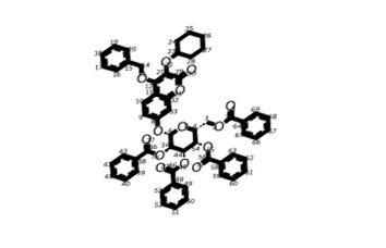 O=C(OC[C@H]1O[C@@H](Oc2ccc3c(OCc4ccccc4)c(OC4CCCCC4)c(=O)oc3c2)[C@H](OC(=O)c2ccccc2)[C@@H](OC(=O)c2ccccc2)[C@H]1OC(=O)c1ccccc1)c1ccccc1